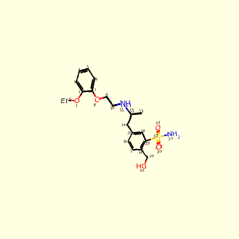 CCOc1ccccc1OCCNC(C)Cc1ccc(CO)c(S(N)(=O)=O)c1